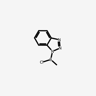 CB(Cl)n1nnc2ccccc21